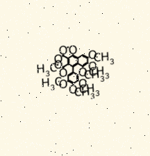 COC(=O)c1c2c(c3cc(OC)c(OC)c(OC)c3c1-c1cc(OC)c(OC)c(OC)c1)OCOC2=O